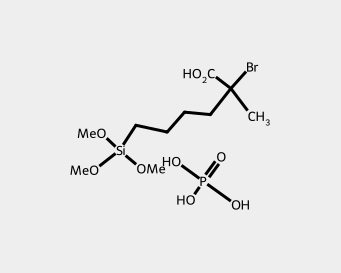 CO[Si](CCCCC(C)(Br)C(=O)O)(OC)OC.O=P(O)(O)O